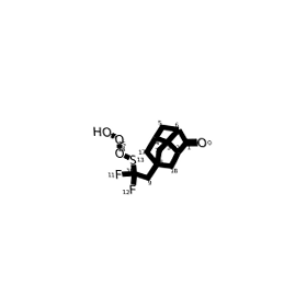 O=C1C2CC3CC1CC(CC(F)(F)SOOO)(C3)C2